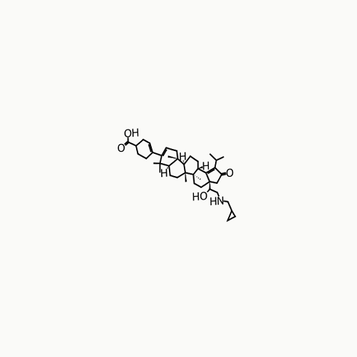 CC(C)C1=C2[C@H]3CC[C@@H]4[C@@]5(C)CC=C(C6=CCC(C(=O)O)CC6)C(C)(C)[C@@H]5CC[C@@]4(C)[C@]3(C)CC[C@@]2(C(O)CNCC2CC2)CC1=O